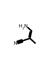 CC(C#N)=CN